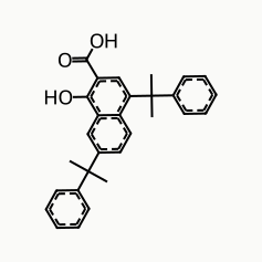 CC(C)(c1ccccc1)c1ccc2c(C(C)(C)c3ccccc3)cc(C(=O)O)c(O)c2c1